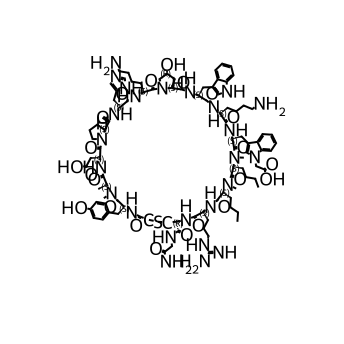 CCCC[C@H]1C(=O)N(C)[C@@H](CCCC)C(=O)N[C@@H](CCCNC(=N)N)C(=O)N[C@H](C(=O)NCC(N)=O)CSCC(=O)N[C@@H](Cc2ccc(O)cc2)C(=O)N(C)[C@@H](C)C(=O)N[C@@H](CC(=O)O)C(=O)N2CCC[C@H]2C(=O)N[C@@H](Cc2cnc[nH]2)C(=O)N[C@@H](CCCCN)C(=O)N2C[C@H](O)C[C@H]2C(=O)N[C@@H](Cc2c[nH]c3ccccc23)C(=O)N[C@@H](CCCCN)C(=O)N[C@@H](Cc2cn(CC(=O)O)c3ccccc23)C(=O)N1C